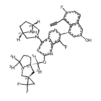 [2H]C1([2H])CC[C@@]2(C([2H])([2H])Oc3nc(N4C[C@H]5CC[C@@H](C4)N5)c4cnc(-c5cc(O)cc6ccc(F)c(C#C)c56)c(F)c4n3)C[C@@]3(CN12)CC3(F)F